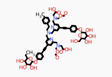 CCC1OC(Oc2ccc(C#Cc3cc(CN(COC=O)CC(=O)O)nc(CN(CCc4ccc(C)cc4)Cc4cc(C#Cc5ccc(OC6OC(CO)C(O)C(O)C6O)cc5)cc(CN(COC=O)CC(=O)O)n4)c3)cc2)C(O)C(O)C1O